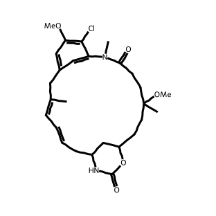 COc1cc2cc(c1Cl)N(C)C(=O)CCC(C)(OC)CCC1CC(C/C=C/C=C(\C)C2)NC(=O)O1